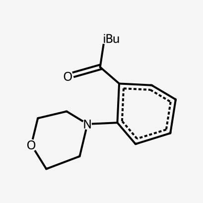 CCC(C)C(=O)c1ccccc1N1CCOCC1